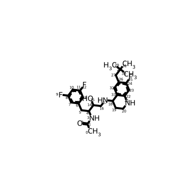 CC(=O)NC(Cc1cc(F)cc(F)c1)C(O)CNC1CCNc2cc(F)c(CC(C)(C)C)cc21